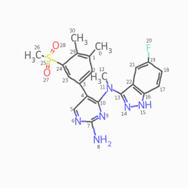 Cc1cc(-c2cnc(N)nc2N(C)c2n[nH]c3ccc(F)cc23)cc(S(C)(=O)=O)c1C